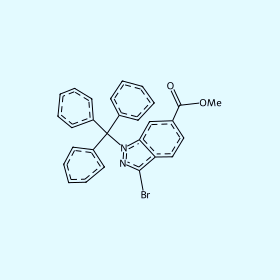 COC(=O)c1ccc2c(Br)nn(C(c3ccccc3)(c3ccccc3)c3ccccc3)c2c1